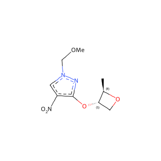 COCn1cc([N+](=O)[O-])c(O[C@H]2CO[C@@H]2C)n1